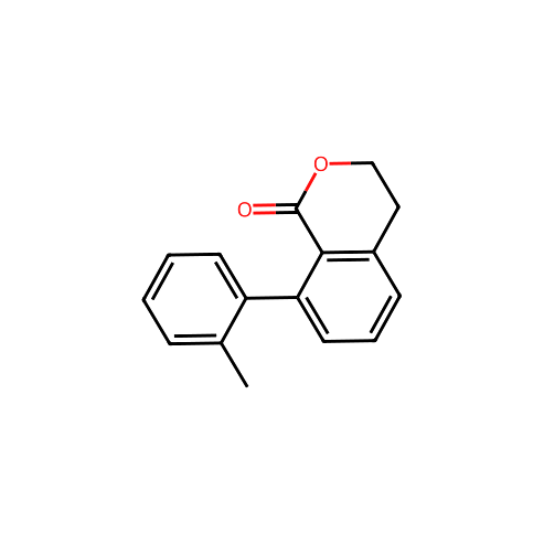 Cc1ccccc1-c1cccc2c1C(=O)OCC2